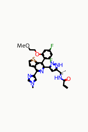 C=CC(=O)N[C@@H](C)c1cc(-c2nc(-c3cn(C)cn3)c3ccsc3c2-c2c(F)cc(F)cc2OCCOC)n[nH]1